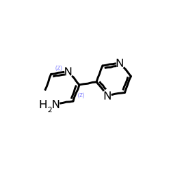 C/C=N\C(=C/N)c1cnccn1